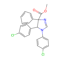 COC(=O)C1(c2ccccc2)N=CN(c2ccc(Cl)cc2)C1c1ccc(Cl)cc1